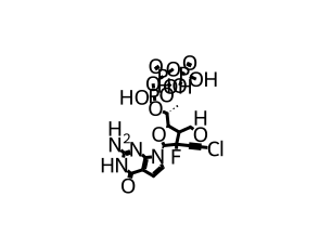 C[C@@H](OP(=O)(O)OP(=O)(O)OP(=O)(O)O)[C@H]1O[C@@H](n2ccc3c(=O)[nH]c(N)nc32)C(F)(C#CCl)C1CO